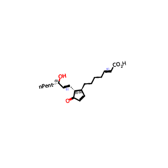 CCCCC[C@H](O)/C=C/[C@H]1C(=O)C=C[C@@H]1CCCC/C=C/C(=O)O